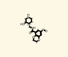 O=Nc1cc2c(c(C(=O)NC[C@@H]3CCNCC3O)c1)OCCO2